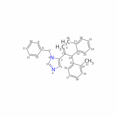 C=C(c1cncn1Cc1ccccc1)C(c1ccccc1C)c1ccccc1C